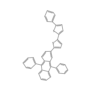 c1ccc(-c2ccc(-c3ccc(-c4ccc5c(-c6ccccc6)c6ccccc6c(-c6ccccc6)c5c4)s3)s2)cc1